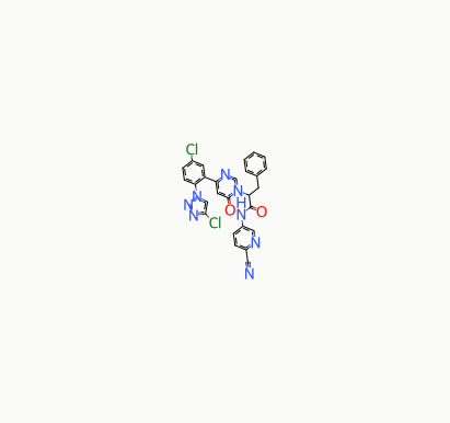 N#Cc1ccc(NC(=O)C(Cc2ccccc2)n2cnc(-c3cc(Cl)ccc3-n3cc(Cl)nn3)cc2=O)cn1